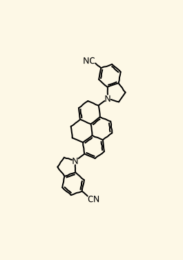 N#Cc1ccc2c(c1)N(c1ccc3ccc4c5c3c1CCC5=CCC4N1CCc3ccc(C#N)cc31)CC2